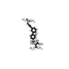 CC(C)[C@H](NS(=O)(=O)c1ccc2c(c1)oc1ccc(C#CCN(C)C)cc12)C(=O)O